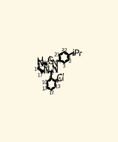 CC(C)c1ccc(N(C)N=C(c2ccccc2Cl)n2ccnc2)cc1